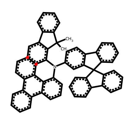 CC1(C)c2ccccc2-c2cccc(N(c3ccc4c(c3)C3(c5ccccc5-c5ccccc53)c3ccccc3-4)c3cccc4c5ccccc5c5ccccc5c34)c21